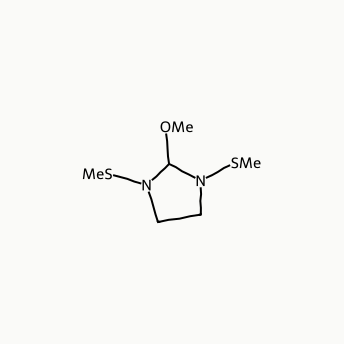 COC1N(SC)CCN1SC